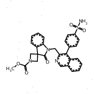 COC(=O)N1CC2(C1)C(=O)N(Cc1ncc3ccccc3c1-c1ccc(S(N)(=O)=O)cc1)c1ccccc12